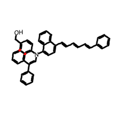 OCc1ccc(N(C=C(c2ccccc2)c2ccccc2)c2ccc(/C=C/C=C/C=C/c3ccccc3)c3ccccc23)cc1